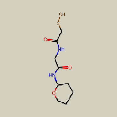 O=C(CSS)NCC(=O)N[C@H]1CCCCO1